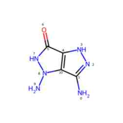 Nc1n[nH]c2c(=O)[nH]n(N)c12